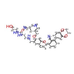 Cc1cc(CNCCNC(=O)NCCO)c(OCc2cncc(C#N)c2)cc1OCc1cccc(-c2ccc3c(c2)OCCO3)c1C#N